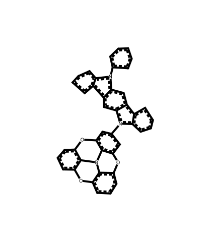 c1ccc(-n2c3ccccc3c3cc4c(cc32)c2ccccc2n4-c2cc3c4c(c2)Oc2cccc5c2B4c2c(cccc2O3)O5)cc1